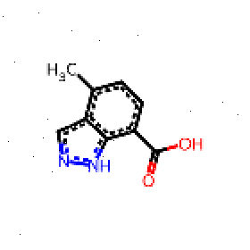 Cc1ccc(C(=O)O)c2[nH]ncc12